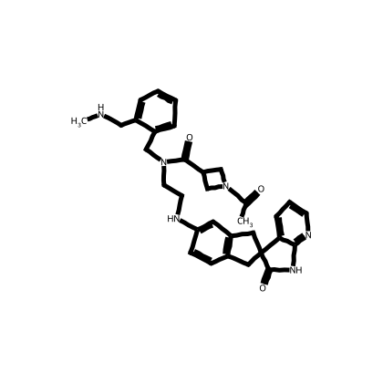 CNCc1ccccc1CN(CCNc1ccc2c(c1)CC1(C2)C(=O)Nc2ncccc21)C(=O)C1CN(C(C)=O)C1